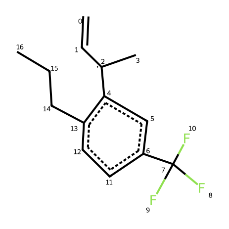 C=C[C](C)c1cc(C(F)(F)F)ccc1CCC